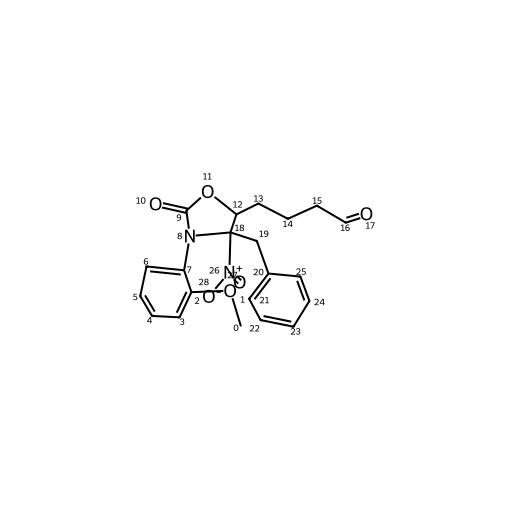 COc1ccccc1N1C(=O)OC(CCCC=O)C1(Cc1ccccc1)[N+](=O)[O-]